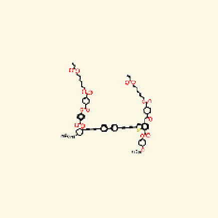 C=CC(=O)OCCCCCCOC(=O)C1CCC(C(=O)Cc2ccc(C(=O)OC3CCC(OCCCC)CC3)c3sc(C#CC#Cc4ccc(-c5ccc(C#CC#CC6(OC(=O)c7ccc(OC(=O)C8CCC(C(=O)OCCCCCCOC(=O)C=C)CC8)cc7)CCC(CCCCC)CC6)cc5)cc4)cc23)CC1